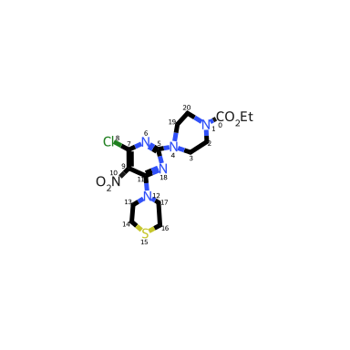 CCOC(=O)N1CCN(c2nc(Cl)c([N+](=O)[O-])c(N3CCSCC3)n2)CC1